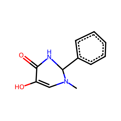 CN1C=C(O)C(=O)NC1c1ccccc1